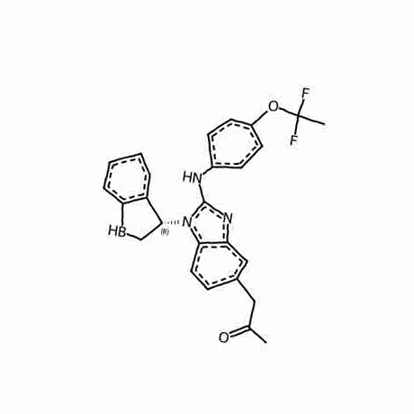 CC(=O)Cc1ccc2c(c1)nc(Nc1ccc(OC(C)(F)F)cc1)n2[C@@H]1CBc2ccccc21